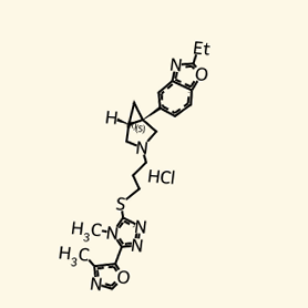 CCc1nc2cc([C@]34C[C@H]3CN(CCCSc3nnc(-c5ocnc5C)n3C)C4)ccc2o1.Cl